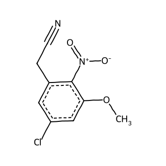 COc1cc(Cl)cc(CC#N)c1[N+](=O)[O-]